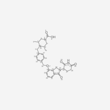 CC1CN(C(=O)O)CC(C)N1Cc1ccc(COc2cccc3c2CN(C2CCC(=O)NC2=O)C3=O)cc1